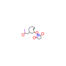 O=C(I)CC1CCC/C=C/C(ON2C(=O)CCC2=O)C1